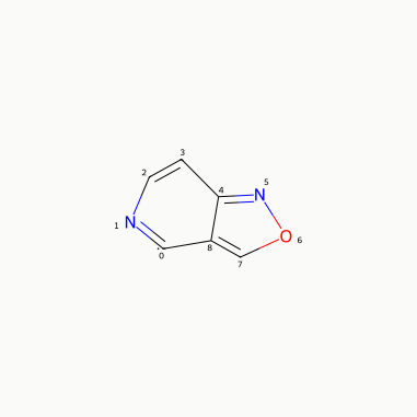 [c]1nccc2nocc12